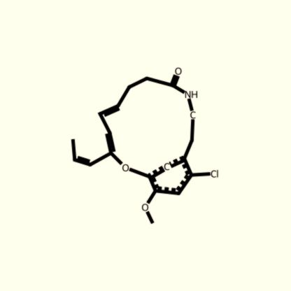 C\C=C/C1=C\C=C\CCC(=O)NCCc2cc(c(OC)cc2Cl)O1